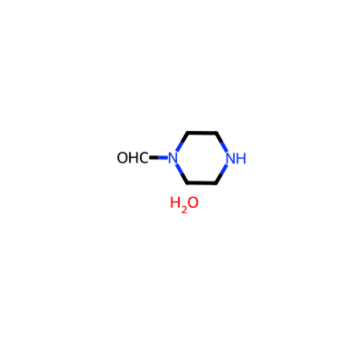 O.O=CN1CCNCC1